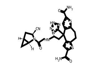 C[C@H](CC1(c2nn[nH]n2)c2cc(C(N)=O)sc2CCc2sc(C(N)=O)cc21)NCC(=O)N1[C@H](C#N)C[C@@H]2C[C@@H]21